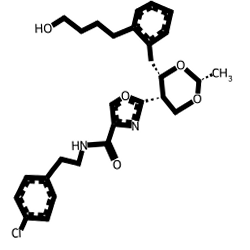 C[C@@H]1OC[C@H](c2nc(C(=O)NCCc3ccc(Cl)cc3)co2)[C@H](Cc2ccccc2CCCCO)O1